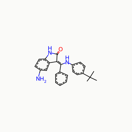 CC(C)(C)c1ccc(N/C(=C2\C(=O)Nc3ccc(N)cc32)c2ccccc2)cc1